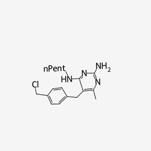 CCCCCNc1nc(N)nc(C)c1Cc1ccc(CCl)cc1